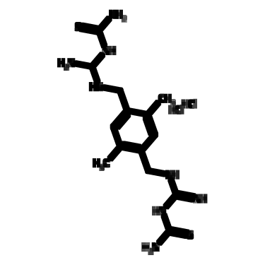 Cc1cc(CNC(N)NC(N)=S)c(C)cc1CNC(=N)NC(N)=S.Cl.Cl